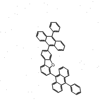 c1ccc(-c2c3ccccc3c(-c3ccc4c(c3)oc3c(-c5c6ccccc6c(-c6ccccc6)c6ccccc56)cccc34)c3ccccc23)cc1